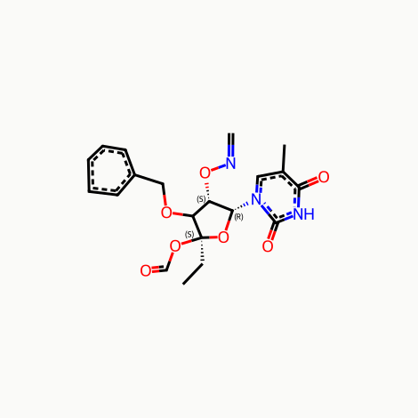 C=NO[C@H]1C(OCc2ccccc2)[C@](CC)(OC=O)O[C@H]1n1cc(C)c(=O)[nH]c1=O